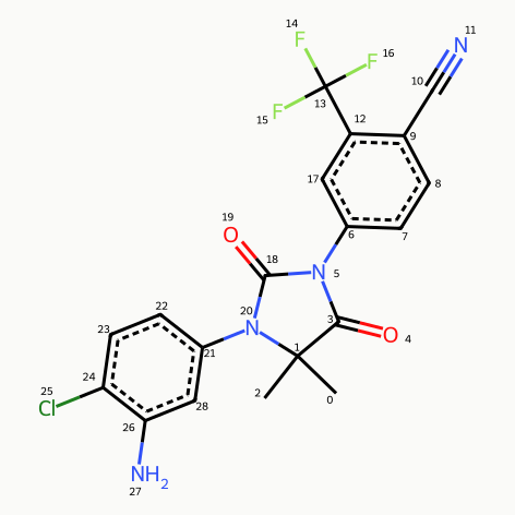 CC1(C)C(=O)N(c2ccc(C#N)c(C(F)(F)F)c2)C(=O)N1c1ccc(Cl)c(N)c1